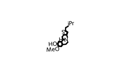 COc1cc2c(cc1O)[C@@H]1Cc3sc(CCC(C)C)cc3CN1CC2